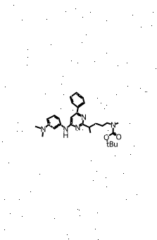 CC(CCCN(C)C(=O)OC(C)(C)C)c1nc(Nc2cccc(N(C)C)c2)cc(-c2ccccc2)n1